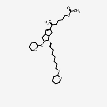 C=C(CCCCOC(C)=O)C1=CC2C[C@H](OC3CCCCO3)[C@@H](C=CCCCCCCOC3CCCCO3)C2C1